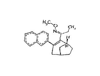 CCC(=NOC)C1=C(c2ccc3ccccc3c2)CC2CC[C@@H]1C2